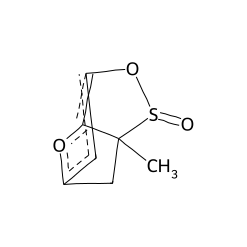 CC12Cc3cc(c1o3)OS2=O